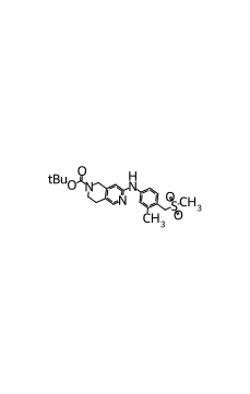 Cc1cc(Nc2cc3c(cn2)CCN(C(=O)OC(C)(C)C)C3)ccc1CS(C)(=O)=O